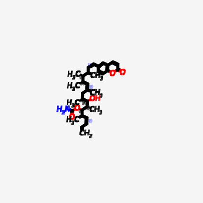 C=C/C=C\C(C)[C@H](OC(N)=O)[C@@H](C)[C@H](O)[C@@H](C)C/C(C)=C\[C@H](C)[C@@H](C)C(C)/C=C\c1ccc2oc(=O)ccc2c1